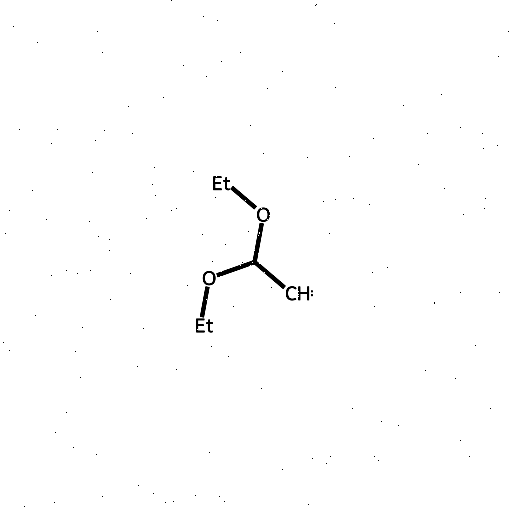 [CH]C(OCC)OCC